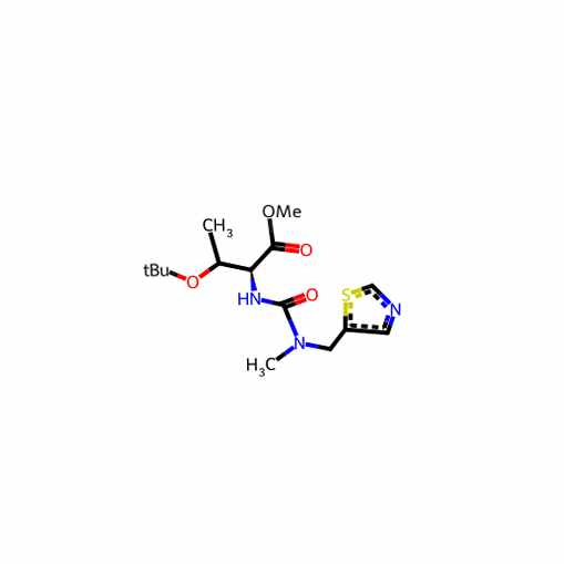 COC(=O)[C@@H](NC(=O)N(C)Cc1cncs1)C(C)OC(C)(C)C